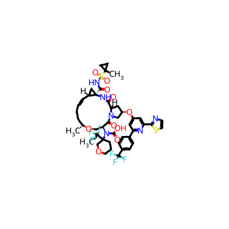 CC[C@@H]1O[C@H](C)CC/C=C\[C@@H]2C[C@@]2(C(=O)NS(=O)(=O)C2(C)CC2)NC(=O)[C@@H]2C[C@@H](Oc3cc(-c4ccc(C(F)(F)F)cc4)nc(-c4nccs4)c3)CN2C(=O)[C@H]1N(C(=O)O)C1(C(F)(F)F)CCCOC1